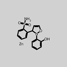 NS(=O)(=O)c1ccccc1C1C=CON1c1ccccc1O.[Zn]